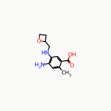 Cc1cc(N)c(NCC2CCO2)cc1C(=O)O